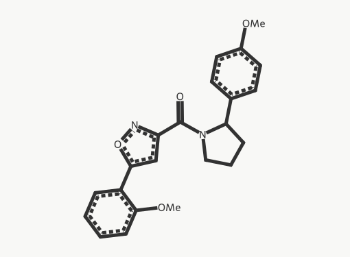 COc1ccc(C2CCCN2C(=O)c2cc(-c3ccccc3OC)on2)cc1